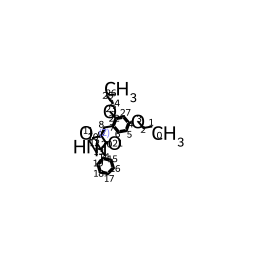 CCCOc1ccc(/C=C2/C(=O)NN(c3ccccc3)C2=O)c(OCCC)c1